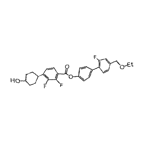 CCOCc1ccc(-c2ccc(OC(=O)c3ccc(C4CCC(O)CC4)c(F)c3F)cc2)c(F)c1